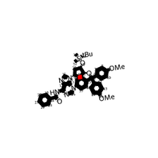 COc1ccc(C(O[C@H]2C[C@H](n3cnc4c(NC(=O)c5ccccc5)ncnc43)[CH][C@H]2O[Si](C)(C)C(C)(C)C)(c2ccccc2)c2ccc(OC)cc2)cc1